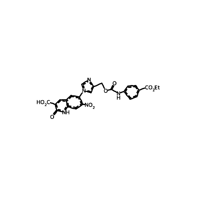 CCOC(=O)c1ccc(NC(=O)OCc2cn(-c3cc4cc(C(=O)O)c(=O)[nH]c4cc3[N+](=O)[O-])cn2)cc1